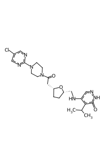 CC(C)c1c(NC[C@@H]2CC[C@H](CC(=O)N3CCN(c4ncc(Cl)cn4)CC3)O2)cn[nH]c1=O